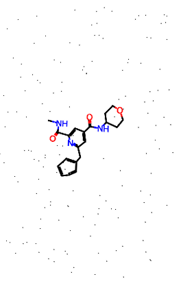 CNC(=O)c1cc(C(=O)NC2CCOCC2)cc(Cc2ccccc2)n1